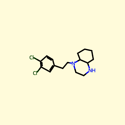 Clc1ccc(CCN2CCNC3CCCCC32)cc1Cl